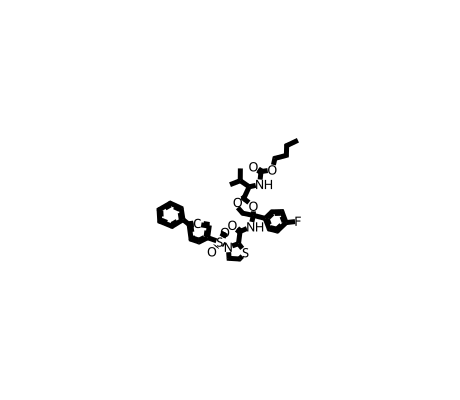 CCCCOC(=O)NC(C(=O)OC(CC)(NC(=O)C1SCCN1S(=O)(=O)c1ccc(-c2ccccc2)cc1)c1ccc(F)cc1)C(C)C